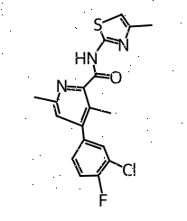 Cc1csc(NC(=O)c2nc(C)cc(-c3ccc(F)c(Cl)c3)c2C)n1